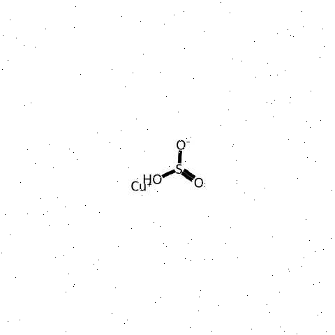 O=S([O-])O.[Cu+]